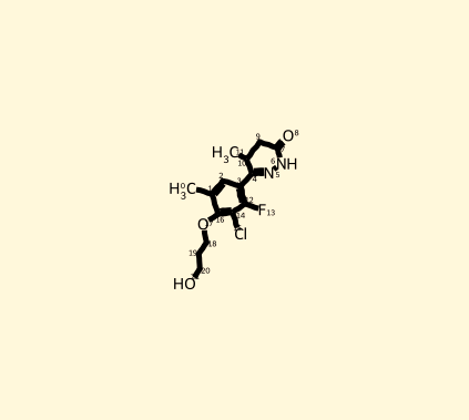 Cc1cc(C2=NNC(=O)CC2C)c(F)c(Cl)c1OCCCO